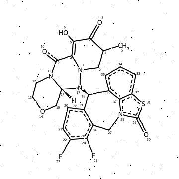 CC1CN2C(=C(O)C1=O)C(=O)N1CCOC[C@H]1N2[C@@H]1c2ccc(F)c(F)c2Cn2c(=O)sc3cccc1c32